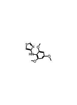 COc1cc(OC)c(Nc2cs[c]n2)c(OC)c1